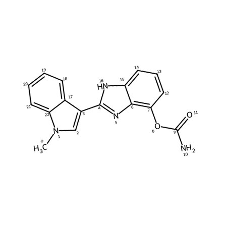 Cn1cc(-c2nc3c(OC(N)=O)cccc3[nH]2)c2ccccc21